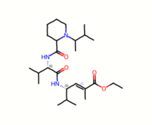 CCOC(=O)/C(C)=C/[C@@H](NC(=O)[C@@H](NC(=O)C1CCCCN1C(C)C(C)C)C(C)C)C(C)C